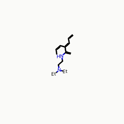 C=C/C=C(\C=C/C)C(=C)NCCN(CC)CC